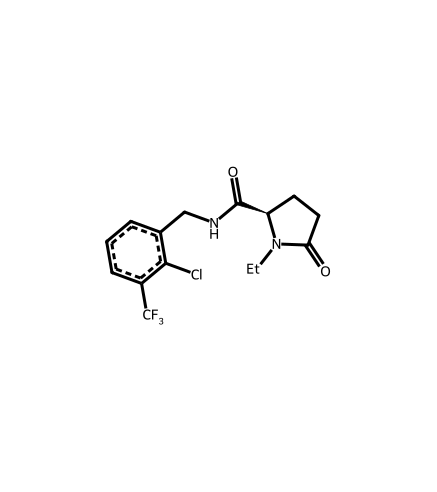 CCN1C(=O)CC[C@@H]1C(=O)NCc1cccc(C(F)(F)F)c1Cl